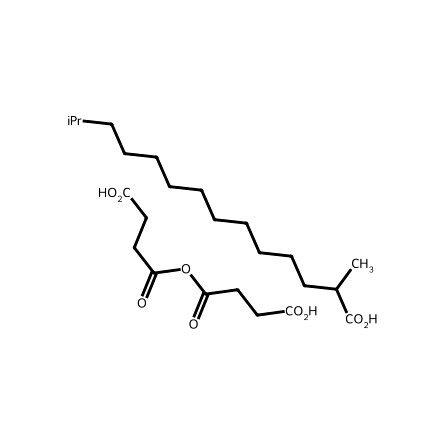 CC(C)CCCCCCCCCCC(C)C(=O)O.O=C(O)CCC(=O)OC(=O)CCC(=O)O